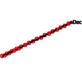 CCCCCCCCCCCCCOCCCCOCCCCOCCCCOCCCCOCCCCOCCCCOCCCCOCCCCOCCCCOCCCCOCCCCOCCCCOCCOCCOCCOCCOCCOCCOCCOCCO